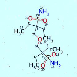 CCC(CC)(COCC(CC)(CC)S(N)(=O)=O)S(N)(=O)=O